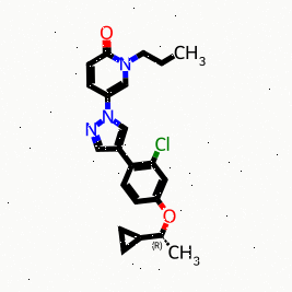 CCCn1cc(-n2cc(-c3ccc(O[C@H](C)C4CC4)cc3Cl)cn2)ccc1=O